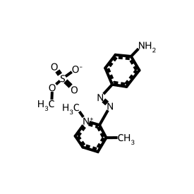 COS(=O)(=O)[O-].Cc1ccc[n+](C)c1N=Nc1ccc(N)cc1